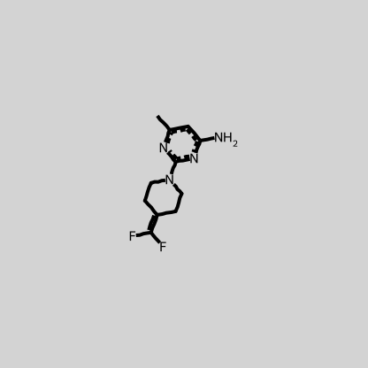 Cc1cc(N)nc(N2CCC(=C(F)F)CC2)n1